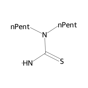 CCCCCN(CCCCC)C([NH])=S